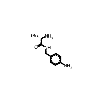 CC(C)(C)[C@H](N)C(=O)NCc1ccc(N)cc1